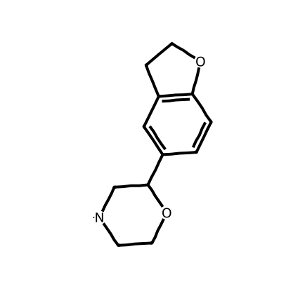 c1cc2c(cc1C1C[N]CCO1)CCO2